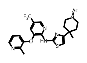 CC(=O)N1CCC(C)(c2csc(Nc3ncc(C(F)(F)F)cc3Oc3cccnc3C)n2)CC1